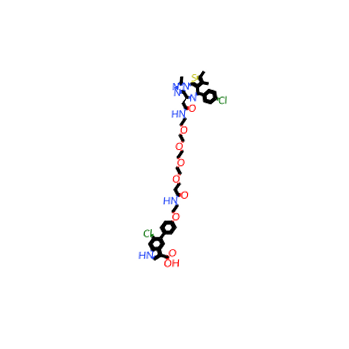 Cc1sc2c(c1C)C(c1ccc(Cl)cc1)=N[C@@H](CC(=O)NCCOCCOCCOCCOCCC(=O)NCCOc1ccc(-c3cc4c(C(=O)O)c[nH]c4cc3Cl)cc1)c1nnc(C)n1-2